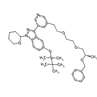 C[C@H](COCCOCCc1cncc(-c2nn(C3CCCCO3)c3ccc(O[Si](C)(C)C(C)(C)C)cc23)c1)OCc1ccccc1